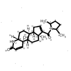 CC1CCC(C)N1C(=O)C1=CC[C@H]2[C@@H]3CC[C@H]4NC(=O)C=C[C@]4(C)[C@H]3CC[C@]12C